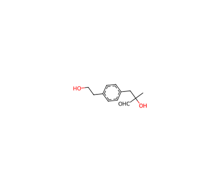 CC(O)(C=O)Cc1ccc(CCO)cc1